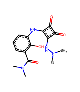 BN(CC)Nc1c(Nc2cccc(C(=O)N(C)C)c2O)c(=O)c1=O